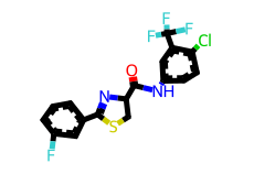 O=C(Nc1ccc(Cl)c(C(F)(F)F)c1)C1CSC(c2cccc(F)c2)=N1